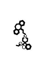 CCOC(=O)C1(c2ccccc2)CCN(CCC=C2c3ccccc3CCc3ccccc32)CC1